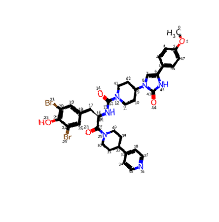 COc1ccc(-c2cn(C3CCN(C(=O)N[C@H](Cc4cc(Br)c(O)c(Br)c4)C(=O)N4CCC(c5ccncc5)CC4)CC3)c(=O)[nH]2)cc1